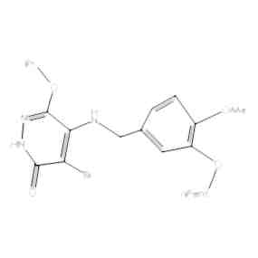 CCCCCOc1cc(CNc2c(OC(C)C)n[nH]c(=O)c2Br)ccc1OC